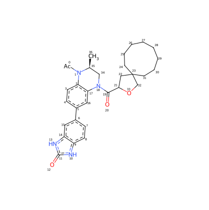 CC(=O)N1c2ccc(-c3ccc4[nH]c(=O)[nH]c4c3)cc2N(C(=O)C2CC3(CCCCCCCC3)CO2)C[C@@H]1C